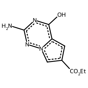 CCOC(=O)c1cc2c(O)nc(N)nn2c1